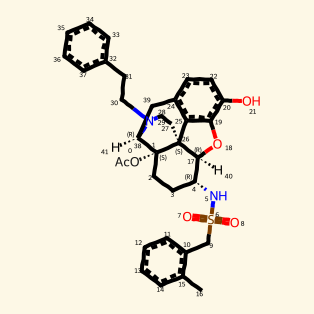 CC(=O)O[C@@]12CC[C@@H](NS(=O)(=O)Cc3ccccc3C)[C@@H]3Oc4c(O)ccc5c4[C@@]31CCN(CCc1ccccc1)[C@@H]2C5